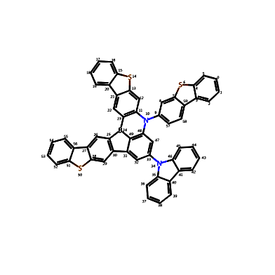 c1ccc2c(c1)sc1cc(N3c4cc5sc6ccccc6c5cc4B4c5cc6c(cc5-c5cc(-n7c8ccccc8c8ccccc87)cc3c54)sc3ccccc36)ccc12